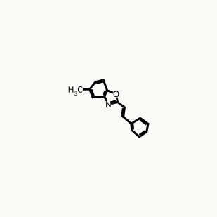 Cc1ccc2oc(C=Cc3ccccc3)nc2c1